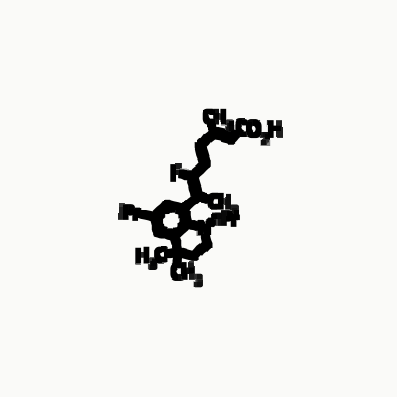 CCCN1CCC(C)(C)c2cc(C(C)C)cc(C(C)=C(F)C=CC(C)=CC(=O)O)c21